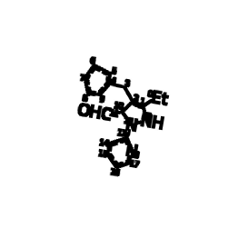 CCC1=C(Cc2ccccc2)C(C=O)N(c2ccccn2)N1